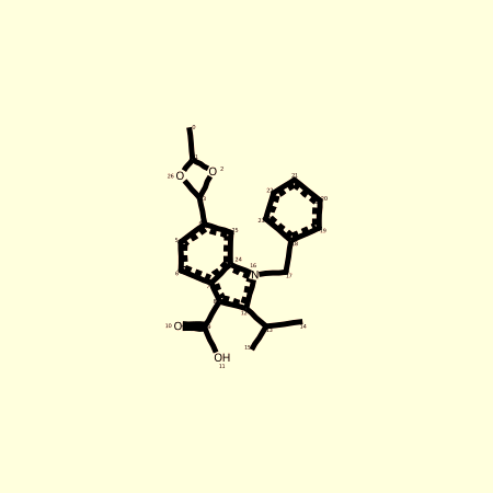 CC1OC(c2ccc3c(C(=O)O)c(C(C)C)n(Cc4ccccc4)c3c2)O1